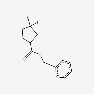 O=C(OCc1ccccc1)C1CCC(F)(F)C1